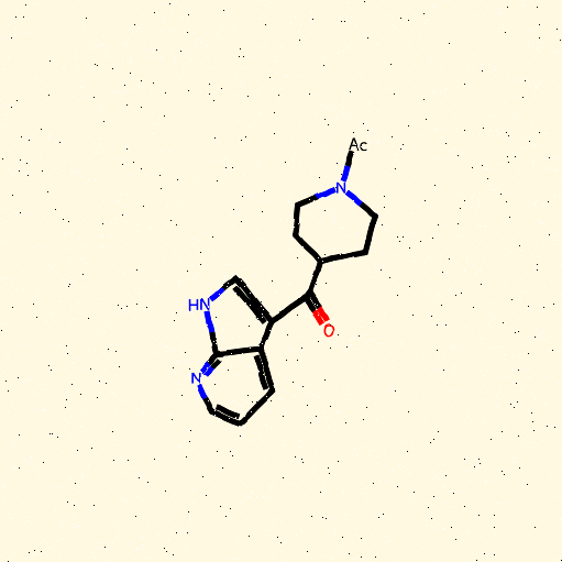 CC(=O)N1CCC(C(=O)c2c[nH]c3ncccc23)CC1